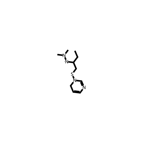 CCC(CSN1C=NC=CC1)[N]N(C)C